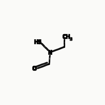 CCN(S)C=O